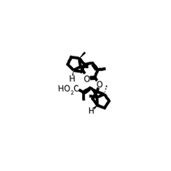 CC(=CC1(OC(=O)C(C)=CC2C[C@H]3CC[C@@]2(C)C3(C)C)C[C@H]2CC[C@@]1(C)C2(C)C)C(=O)O